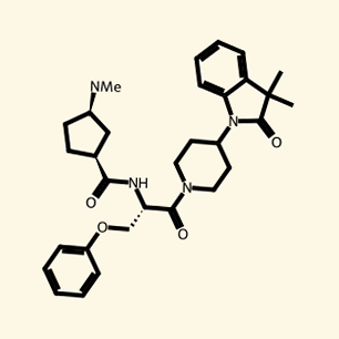 CN[C@@H]1CC[C@H](C(=O)N[C@@H](COc2ccccc2)C(=O)N2CCC(N3C(=O)C(C)(C)c4ccccc43)CC2)C1